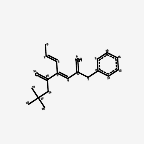 C/C=C/C(=C\C(=N)Cc1ccccc1)C(=O)CC(C)(C)C